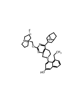 CCc1cccc2cc(O)cc(N3CCc4c(nc(OC[C@@]56CCCN5C[C@H](F)C6)nc4C4CC5CCC(C4)N5)C3)c12